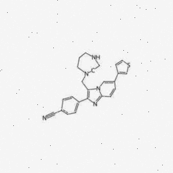 N#Cc1ccc(-c2nc3ccc(-c4ccsc4)cn3c2CN2CCCNCC2)cc1